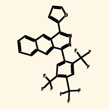 FC(F)(F)c1cc(C(F)(F)F)c(C(F)(F)F)cc1-c1nnc(-c2ccco2)c2cc3ccccc3cc12